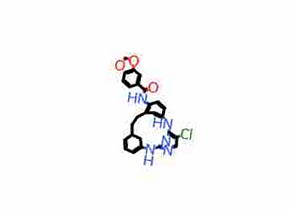 O=C(Nc1ccc2cc1CCC1C=CC=C(C1)Nc1ncc(Cl)c(n1)N2)c1ccc2c(c1)OCO2